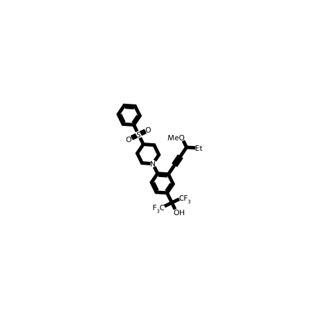 CCC(C#Cc1cc(C(O)(C(F)(F)F)C(F)(F)F)ccc1N1CCC(S(=O)(=O)c2ccccc2)CC1)OC